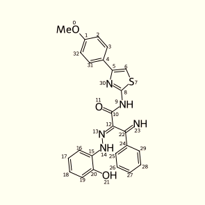 COc1ccc(-c2csc(NC(=O)/C(=N/Nc3ccccc3O)C(=N)c3ccccc3)n2)cc1